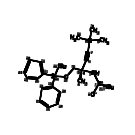 CC(C)(C)[S@@+]([O-])N[C@@](C)(C#C[Si](C)(C)C)CO[Si](c1ccccc1)(c1ccccc1)C(C)(C)C